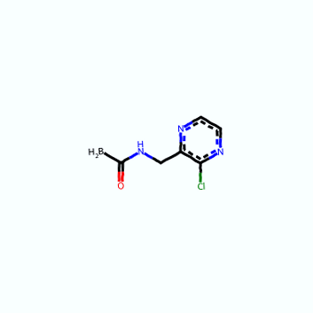 BC(=O)NCc1nccnc1Cl